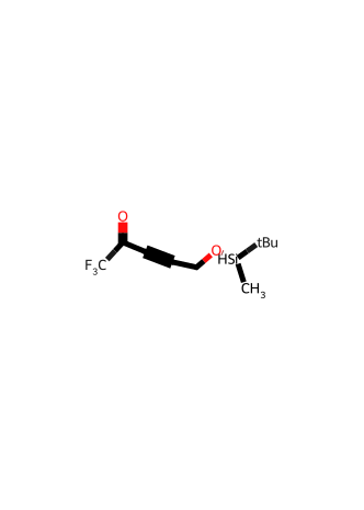 C[SiH](OCC#CC(=O)C(F)(F)F)C(C)(C)C